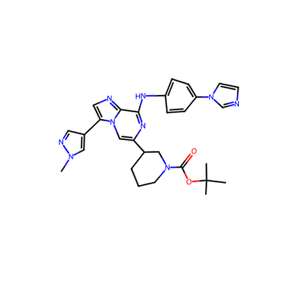 Cn1cc(-c2cnc3c(Nc4ccc(-n5ccnc5)cc4)nc(C4CCCN(C(=O)OC(C)(C)C)C4)cn23)cn1